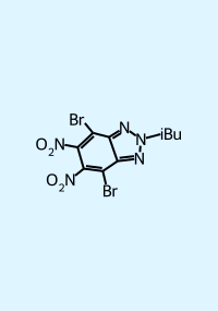 CCC(C)n1nc2c(Br)c([N+](=O)[O-])c([N+](=O)[O-])c(Br)c2n1